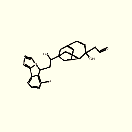 O=CCC1(O)CCC2CC3CC(C(O)CC4c5c(F)cccc5-c5cncn54)(C2)CC31